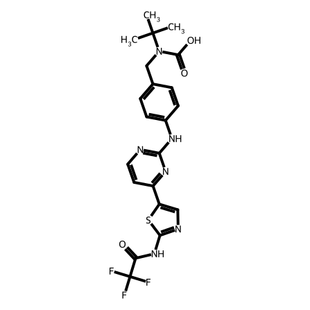 CC(C)(C)N(Cc1ccc(Nc2nccc(-c3cnc(NC(=O)C(F)(F)F)s3)n2)cc1)C(=O)O